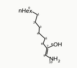 CCCCCCCCCCCCC(O)=CN